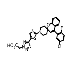 O=C(O)Cn1nnc(-c2cnc(N3CCC4(C=C(c5cc(Cl)ccc5F)c5ccccc5O4)CC3)s2)n1